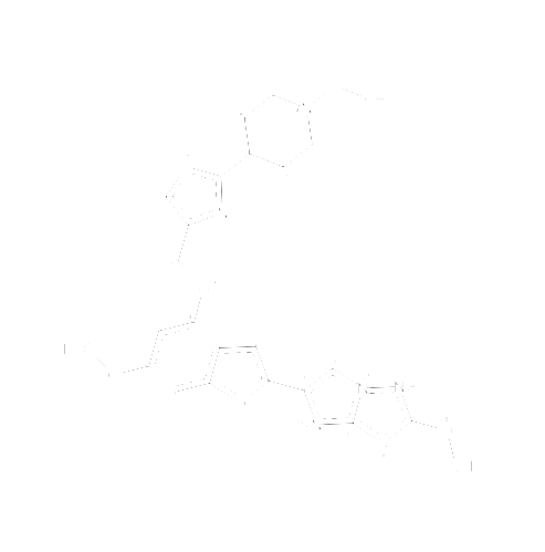 COc1cc(OCc2csc(C3CCN(SC)CC3)n2)c2cc(-c3cn4nc(OC)sc4n3)oc2c1